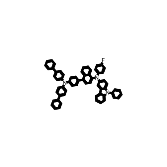 Fc1ccc(N(c2ccc3c(c2)c2ccccc2n3-c2ccccc2)c2ccc(-c3ccc(N(c4ccc(-c5ccccc5)cc4)c4ccc(-c5ccccc5)cc4)cc3)c3ccccc23)cc1